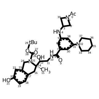 CC(=O)N1CC(Nc2cc(C(=O)NC[C@@H](O)[C@@]3(C)Cc4ccc(O)cc4CN3C(=O)OC(C)(C)C)cc(N3CCCCC3)c2)C1